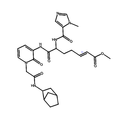 COC(=O)/C=C/CCC(NC(=O)c1cncn1C)C(=O)Nc1cccn(CC(=O)NC2CC3CCC2C3)c1=O